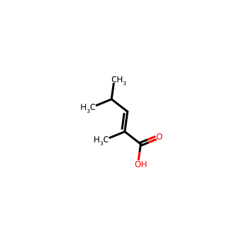 C/C(=C\C(C)C)C(=O)O